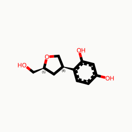 OC[C@@H]1C[C@H](c2ccc(O)cc2O)CO1